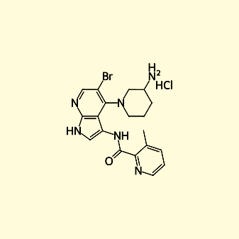 Cc1cccnc1C(=O)Nc1c[nH]c2ncc(Br)c(N3CCCC(N)C3)c12.Cl